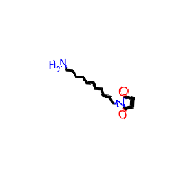 NCCCCCCCCCCCN1C(=O)C=CC1=O